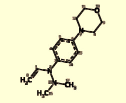 C=CN(c1ccc(N2CCOCC2)cc1)N(C)C